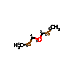 CSCOCSC